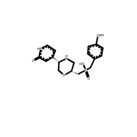 COc1ccc(CP(=O)(O)C[C@H]2CN[C@@H](c3cc[nH]c(=O)c3)CO2)cc1